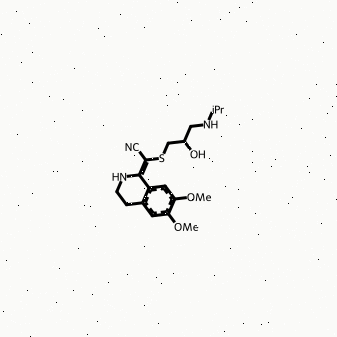 COc1cc2c(cc1OC)C(=C(C#N)SCC(O)CNC(C)C)NCC2